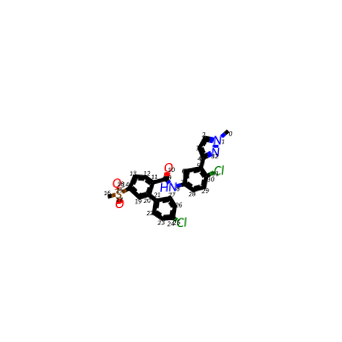 Cn1ccc(-c2cc(NC(=O)c3ccc(S(C)(=O)=O)cc3-c3ccc(Cl)cc3)ccc2Cl)n1